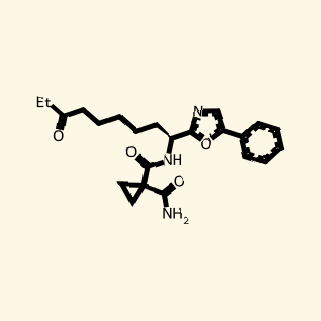 CCC(=O)CCCCC[C@H](NC(=O)C1(C(N)=O)CC1)c1ncc(-c2ccccc2)o1